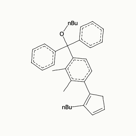 CCCCOC(c1ccccc1)(c1ccccc1)c1ccc(C2=C(CCCC)C=CC2)c(C)c1C